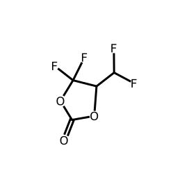 O=C1OC(C(F)F)C(F)(F)O1